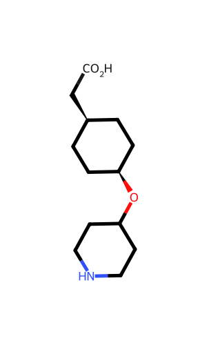 O=C(O)C[C@H]1CC[C@@H](OC2CCNCC2)CC1